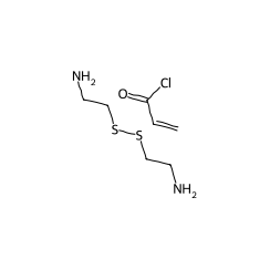 C=CC(=O)Cl.NCCSSCCN